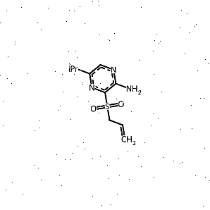 C=CCS(=O)(=O)c1nc(C(C)C)cnc1N